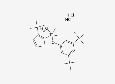 CC(C)(C)C1=[C]([Ti]([CH3])([CH3])([SiH3])[O]c2cc(C(C)(C)C)cc(C(C)(C)C)c2)CC=C1.Cl.Cl